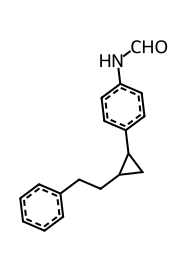 O=CNc1ccc(C2CC2CCc2ccccc2)cc1